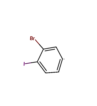 Brc1c[c]ccc1I